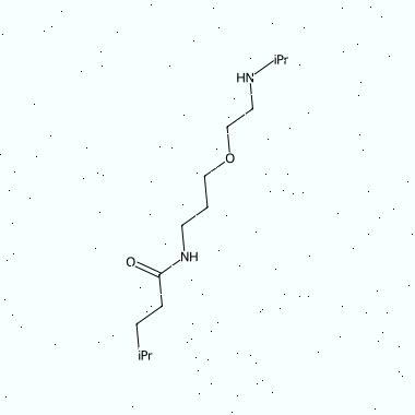 CC(C)CCC(=O)NCCCOCCNC(C)C